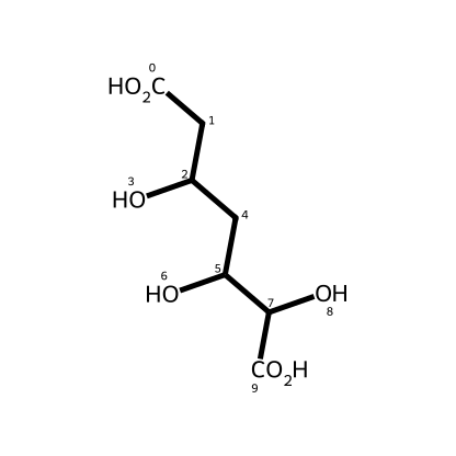 O=C(O)CC(O)CC(O)C(O)C(=O)O